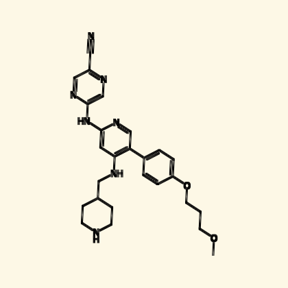 COCCCOc1ccc(-c2cnc(Nc3cnc(C#N)cn3)cc2NCC2CCNCC2)cc1